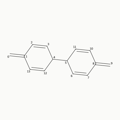 C=C1C=CC(C2C=CC(=C)C=C2)C=C1